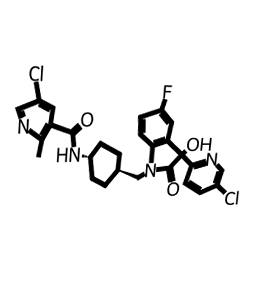 Cc1ncc(Cl)cc1C(=O)N[C@H]1CC[C@H](CN2C(=O)C(O)(c3ccc(Cl)cn3)c3cc(F)ccc32)CC1